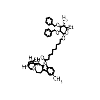 CC[C@H]1C[C@H]2C[C@H]3c4c(c5cc(C)ccc5n4C(=O)CCCCCCCCO[C@H]4O[C@H](CC)[C@@H](C)[C@H](OCc5ccccc5)[C@H]4OCc4ccccc4)CCN(C2)C13